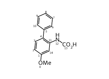 COc1ccc(-c2ccccc2)c(NC(=O)O)c1